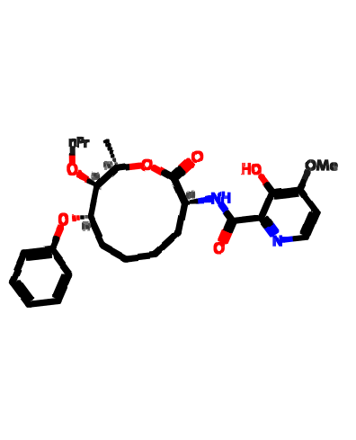 CCCO[C@H]1[C@H](C)OC(=O)[C@@H](NC(=O)c2nccc(OC)c2O)CCCC[C@@H]1Oc1ccccc1